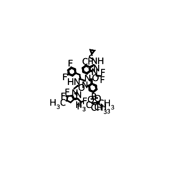 CC1Cc2c(C(F)F)nn(CC(=O)NC(Cc3cc(F)cc(F)c3)c3nc4cc(B5OC(C)(C)C(C)(C)O5)ccc4c(=O)n3-c3ccc(Cl)c4c(NSC5CC5)nn(CC(F)F)c34)c2C1(F)F